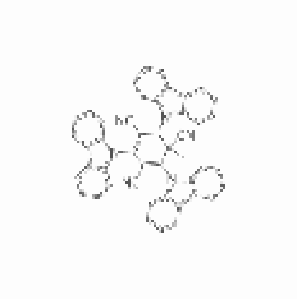 CC1(C#N)C(n2c3ccccc3c3ccccc32)=C(C#N)C(n2c3ccccc3c3ccccc32)=C(C#N)C1n1c2ccccc2c2ccccc21